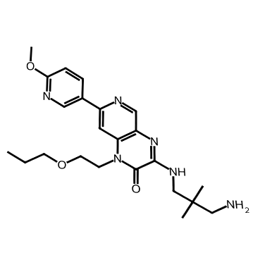 CCCOCCn1c(=O)c(NCC(C)(C)CN)nc2cnc(-c3ccc(OC)nc3)cc21